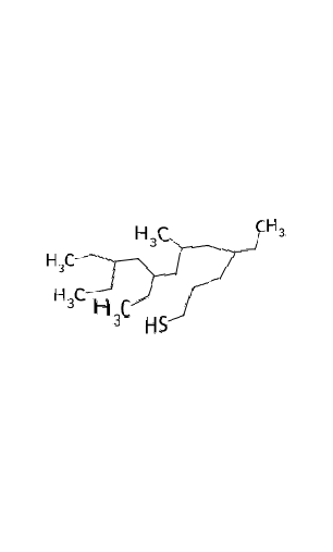 CCC(CCCS)CC(C)CC(CC)CC(CC)CC